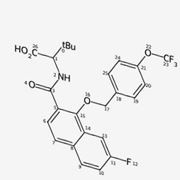 CC(C)(C)C(NC(=O)c1ccc2ccc(F)cc2c1OCc1ccc(OC(F)(F)F)cc1)C(=O)O